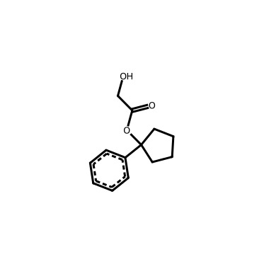 O=C(CO)OC1(c2ccccc2)CCCC1